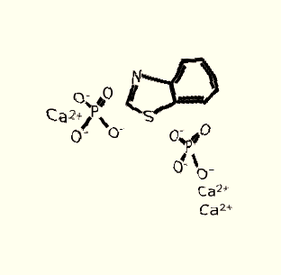 O=P([O-])([O-])[O-].O=P([O-])([O-])[O-].[Ca+2].[Ca+2].[Ca+2].c1ccc2scnc2c1